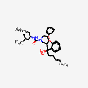 CNCC(CC(C)C(F)(F)F)NC(=O)N1CCCC(C(O)(CCCCOC)c2ccccc2Oc2ccccc2)C1